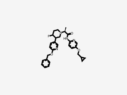 C[C@@H](C(=O)Nc1ccc(OCC2CC2)cn1)N1CCC(F)C(c2ccc(OCc3ccccc3)nc2)C1